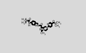 Cc1nc(C(=O)NCc2ccc(NC(=O)N(C)C)cc2)c2n1CCN(c1ccc(C(=O)N(C)C)cn1)C2